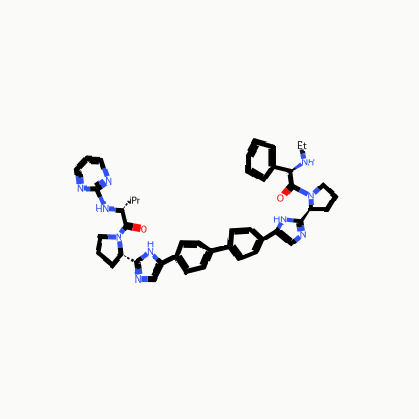 CCN[C@@H](C(=O)N1CCC[C@H]1c1ncc(-c2ccc(-c3ccc(-c4cnc([C@@H]5CCCN5C(=O)[C@H](Nc5ncccn5)C(C)C)[nH]4)cc3)cc2)[nH]1)c1ccccc1